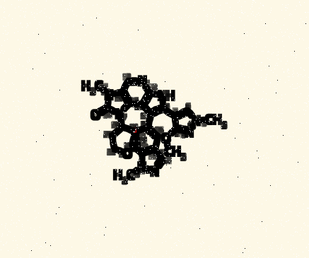 COc1nn(C)cc1-c1[nH]c2ncc3c(c2c1-c1ccc2c(cnn2C)c1)n(C1CCOCC1)c(=O)n3C